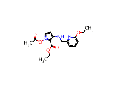 CCOC(=O)c1c(NCc2cccc(OCC)n2)ccn1OC(C)=O